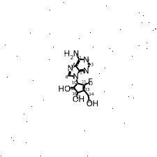 Nc1ncnc2c1ncn2C1C(F)=C(CO)C(O)C1O